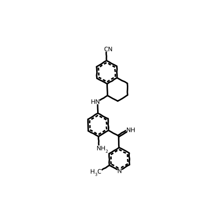 Cc1cc(C(=N)c2cc(NC3CCCc4cc(C#N)ccc43)ccc2N)ccn1